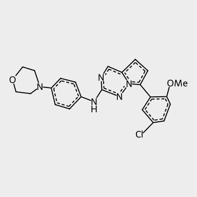 COc1ccc(Cl)cc1-c1ccc2cnc(Nc3ccc(N4CCOCC4)cc3)nn12